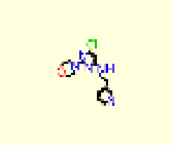 Clc1cc(NCCc2cccnc2)nc(N2CCOCC2)n1